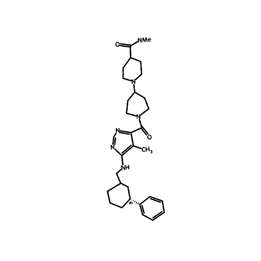 CNC(=O)C1CCN(C2CCN(C(=O)c3ncnc(NCC4CCC[C@@H](c5ccccc5)C4)c3C)CC2)CC1